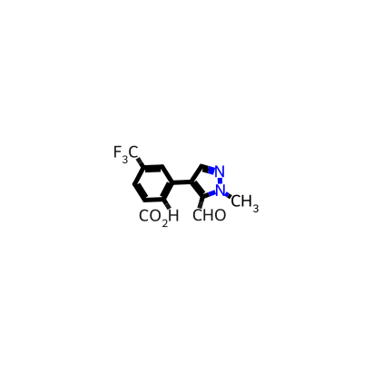 Cn1ncc(-c2cc(C(F)(F)F)ccc2C(=O)O)c1C=O